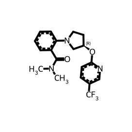 CN(C)C(=O)c1ccccc1N1CC[C@@H](Oc2ccc(C(F)(F)F)cn2)C1